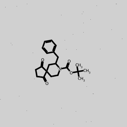 CC(C)(C)OC(=O)N1CCC2(CC1Cc1ccccc1)C(=O)CCC2=O